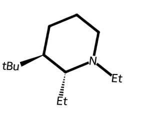 CC[C@@H]1[C@@H](C(C)(C)C)CCCN1CC